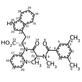 Cc1cc(C)cc(C(=O)N(C)[C@@H](C)C(=O)N(c2ccccn2)[C@@H](Cc2c[nH]c3ccccc23)C(=O)O)c1